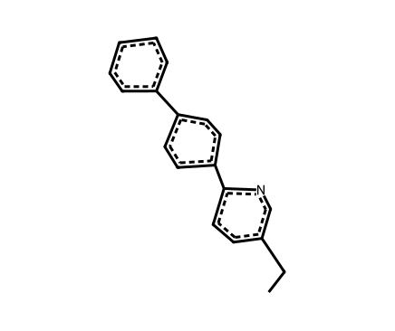 CCc1ccc(-c2ccc(-c3ccccc3)cc2)nc1